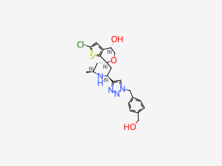 C[C@H]1C[C@@]2(C[C@@H](c3cn(Cc4ccc(CO)cc4)nn3)N1)OC[C@@H](O)c1cc(Cl)sc12